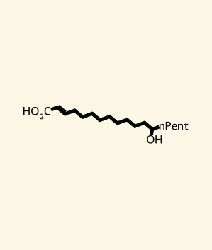 CCCCCC(O)CCCCCCCCCC=CC(=O)O